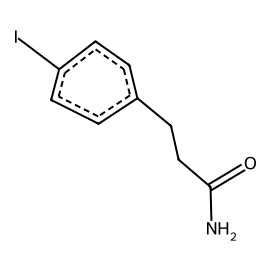 NC(=O)CCc1ccc(I)cc1